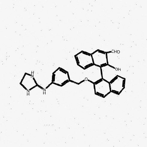 O=Cc1cc2ccccc2c(-c2c(OCc3cccc(NC4NCCN4)c3)ccc3ccccc23)c1O